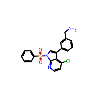 NCc1cccc(-c2cn(S(=O)(=O)c3ccccc3)c3nccc(Cl)c23)c1